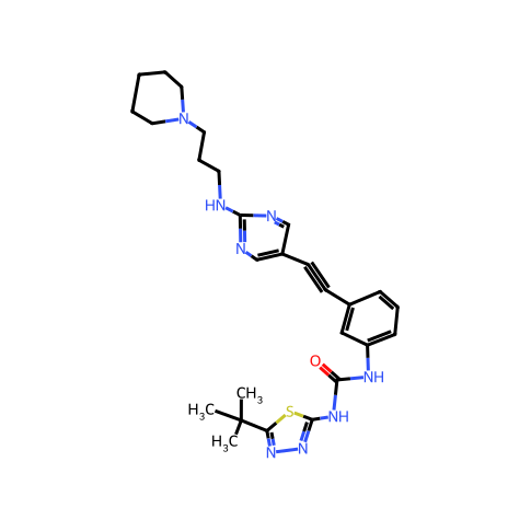 CC(C)(C)c1nnc(NC(=O)Nc2cccc(C#Cc3cnc(NCCCN4CCCCC4)nc3)c2)s1